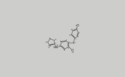 Clc1ccc(Sc2ccc(NC3=NCCC3)cc2Cl)cc1